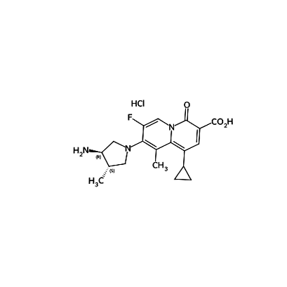 Cc1c(N2C[C@H](C)[C@@H](N)C2)c(F)cn2c(=O)c(C(=O)O)cc(C3CC3)c12.Cl